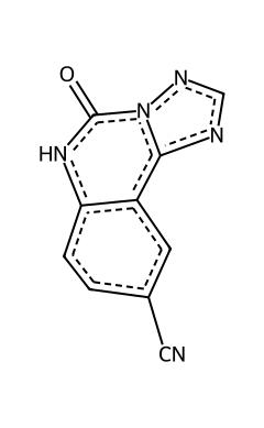 N#Cc1ccc2[nH]c(=O)n3ncnc3c2c1